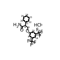 Cl.NC(=O)C(COc1cc(C(F)(F)F)cc(C(F)(F)F)c1)c1ccccc1